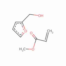 C=CC(=O)OC.OCc1ccco1